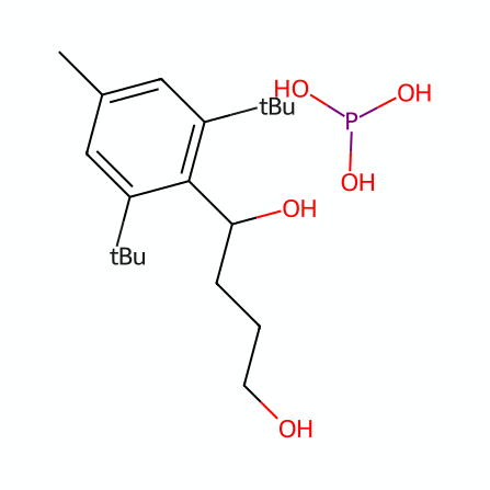 Cc1cc(C(C)(C)C)c(C(O)CCCO)c(C(C)(C)C)c1.OP(O)O